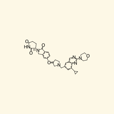 O=C1CC[C@H](N2Cc3cc(O[C@H]4CCN(Cc5cc(C6CC6)c6nc(N7CCOCC7)ncc6c5)C4)ccc3C2=O)C(=O)N1